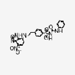 O=C(Nc1ccccc1)NS(=O)(=O)c1ccc(CCNc2ccc([N+](=O)[O-])c3nonc23)cc1